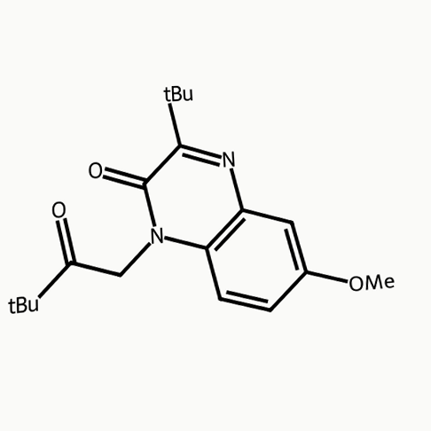 COc1ccc2c(c1)nc(C(C)(C)C)c(=O)n2CC(=O)C(C)(C)C